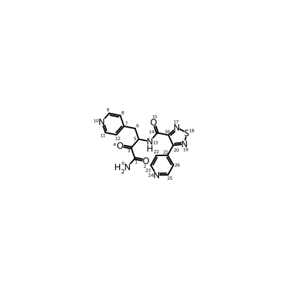 NC(=O)C(=O)C(Cc1ccncc1)NC(=O)c1nsnc1-c1ccncc1